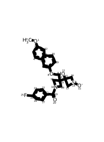 COc1ccc2cc(OCC3(C4(O)C[S+]([O-])C4)CN(C(=O)c4ccc(F)cc4)C3)ccc2c1